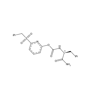 CC(C)C[C@H](NC(=O)Oc1cccc(S(=O)(=O)CC(C)C)n1)C(N)=O